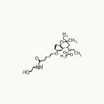 CCN(C1CC(C)(C)Oc2ccc(OCCCCC(=O)NCCO)cc21)S(C)(=O)=O